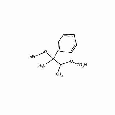 CCCOC(C)(c1ccccc1)C(C)OC(=O)O